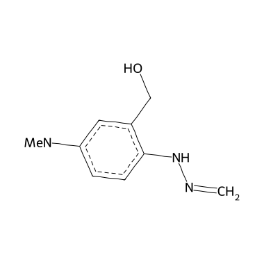 C=NNc1ccc(NC)cc1CO